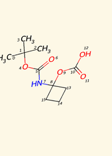 CC(C)(C)OC(=O)NC1(OC(=O)O)CCC1